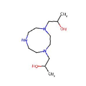 CC(O)CN1CCNCCN(CC(C)O)CC1